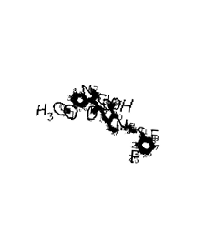 COc1ccc2ncc(Cl)c(C(=O)CCC3CCN(CCSc4cc(F)ccc4F)CC3C(=O)O)c2c1